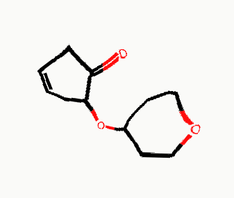 O=C1CC=CC1OC1CCOCC1